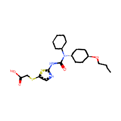 CCCO[C@H]1CC[C@H](N(C(=O)Nc2ncc(SCC(=O)O)s2)C2CCCCC2)CC1